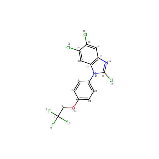 FC(F)(F)COc1ccc(-n2c(Cl)nc3cc(Cl)c(Cl)cc32)cc1